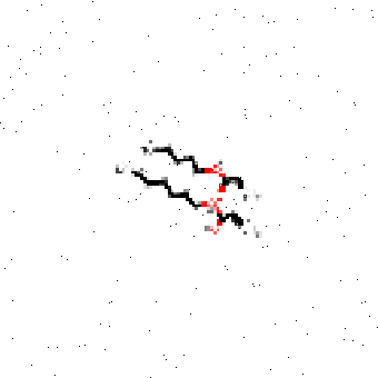 C=CC(=O)OCCCCC#N.C=CC(=O)OCCCCCCC#N